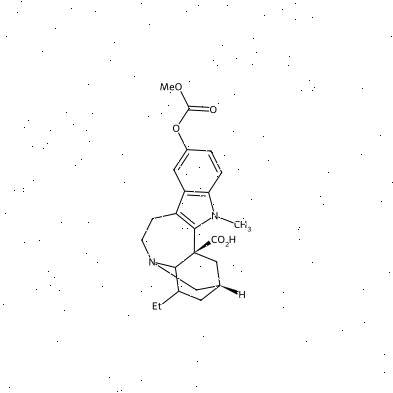 CCC1C[C@@H]2CN3CCc4c(n(C)c5ccc(OC(=O)OC)cc45)[C@](C(=O)O)(C2)C13